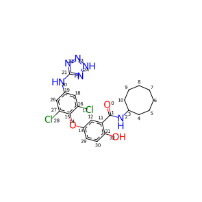 O=C(NC1CCCCCCC1)c1cc(Oc2c(Cl)cc(Nc3nn[nH]n3)cc2Cl)ccc1O